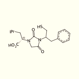 CC(C)C[C@@H](C(=O)O)N1CC(=O)N(C(CS)Cc2ccccc2)C1=O